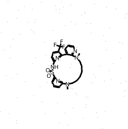 CN1CCCCCCN(C)c2ncccc2-c2nc(ccc2C(F)(F)F)NS(=O)(=O)c2cccc1n2